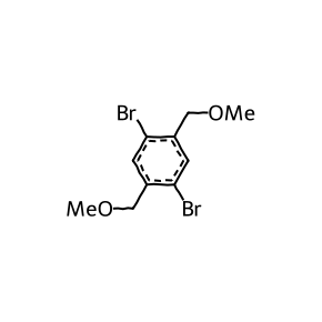 COCc1cc(Br)c(COC)cc1Br